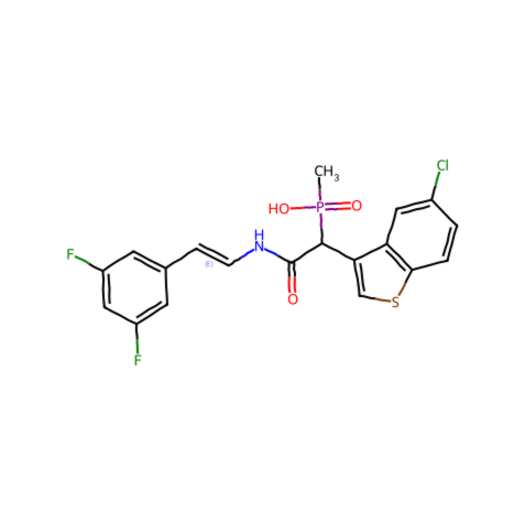 CP(=O)(O)C(C(=O)N/C=C/c1cc(F)cc(F)c1)c1csc2ccc(Cl)cc12